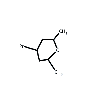 CC1CC(C(C)C)CC(C)O1